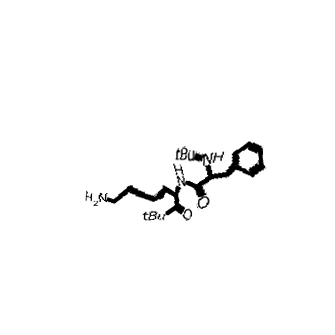 CC(C)(C)NC(Cc1ccccc1)C(=O)NC(CCCCN)C(=O)C(C)(C)C